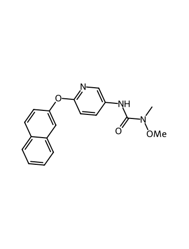 CON(C)C(=O)Nc1ccc(Oc2ccc3ccccc3c2)nc1